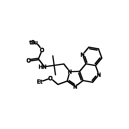 CCOCc1nc2cnc3cccnc3c2n1CC(C)(C)NC(=O)OC(C)(C)C